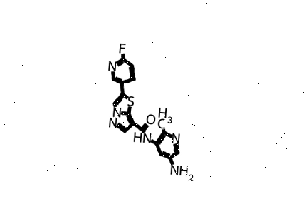 Cc1ncc(N)cc1NC(=O)c1cnn2cc(-c3ccc(F)nc3)sc12